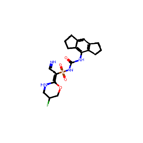 N=C/C(=C1\NCC(F)CO1)S(=O)(=O)NC(=O)Nc1c2c(cc3c1CCC3)CCC2